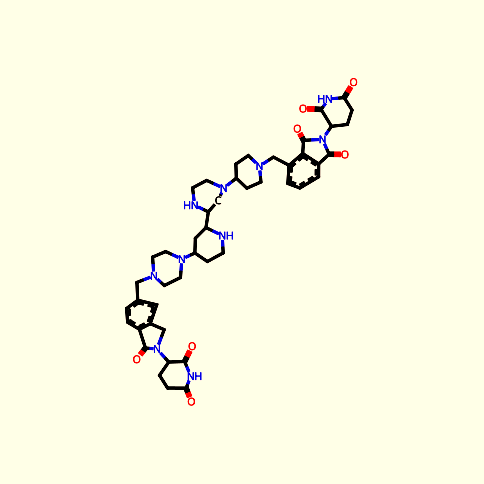 O=C1CCC(N2Cc3cc(CN4CCN(C5CCNC(C6CN(C7CCN(Cc8cccc9c8C(=O)N(C8CCC(=O)NC8=O)C9=O)CC7)CCN6)C5)CC4)ccc3C2=O)C(=O)N1